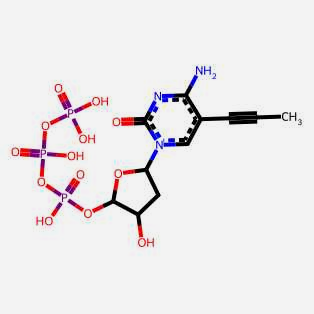 CC#Cc1cn(C2CC(O)C(OP(=O)(O)OP(=O)(O)OP(=O)(O)O)O2)c(=O)nc1N